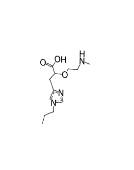 CCCn1cnc(CC(OCCNC)C(=O)O)c1